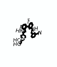 N#Cc1cccc(CNc2ccc(F)c(-c3ccnc4[nH]c(C5CCN(CC(O)CO)CC5)cc34)c2)c1